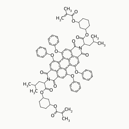 C=C(C)C(=O)OC1CCCC(OC(=O)C(CC(C)C)N2C(=O)c3cc(Oc4ccccc4)c4c5c(Oc6ccccc6)cc6c7c(cc(Oc8ccccc8)c(c8c(Oc9ccccc9)cc(c3c48)C2=O)c75)C(=O)N(C(CC(C)C)C(=O)OC2CCCC(OC(=O)C(=C)C)C2)C6=O)C1